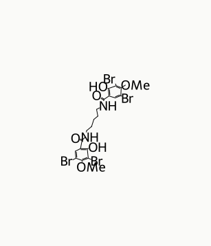 COc1c(Br)cc(C(=O)NCCCCCNC(=O)c2cc(Br)c(OC)c(Br)c2O)c(O)c1Br